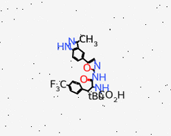 Cc1n[nH]c2ccc(-c3cnc(NC(=O)C(NC(=O)O)[C@H](c4ccc(C(F)(F)F)cc4)C(C)(C)C)o3)cc12